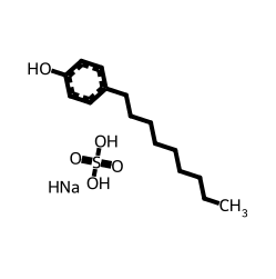 CCCCCCCCCc1ccc(O)cc1.O=S(=O)(O)O.[NaH]